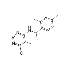 Cc1ccc(C(C)Nc2ncnc(Cl)c2C)c(C)c1